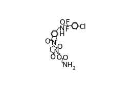 NCC(=O)OCN1C(=O)CCC(N2Cc3cc(CNC(=O)C(F)(F)c4ccc(Cl)cc4)ccc3C2=O)C1=O